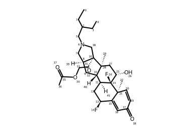 CCC(CC)CN1C[C@@H]2C[C@H]3[C@@H]4C[C@H](F)C5=CC(=O)C=C[C@]5(C)[C@@]4(F)[C@@H](O)C[C@]3(C)[C@]2(C(=O)COC(C)=O)C1